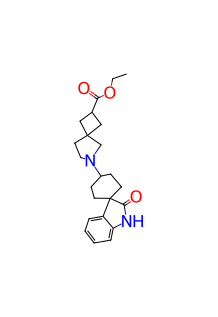 CCOC(=O)C1CC2(CCN(C3CCC4(CC3)C(=O)Nc3ccccc34)C2)C1